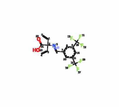 C=CC(C=C)(/N=C/c1cc(C(F)(F)F)cc(C(F)(F)F)c1)C(=O)O